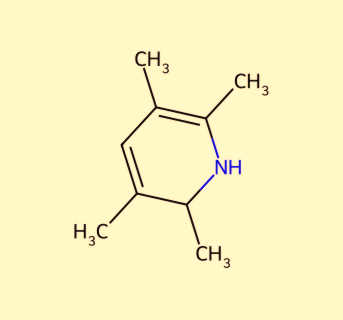 CC1=CC(C)=C(C)NC1C